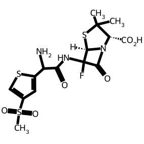 CC1(C)S[C@H]2N(C(=O)C2(F)NC(=O)C(N)c2cc(S(C)(=O)=O)cs2)[C@H]1C(=O)O